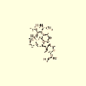 C/C(N)=C(\c1cnc2c3c(n(CC4CCOCC4)c2c1)=CC([S+](C)[O-])CC=3)N(C)N